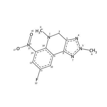 CN1Cc2nn(C)nc2-c2cc(F)cc([N+](=O)[O-])c21